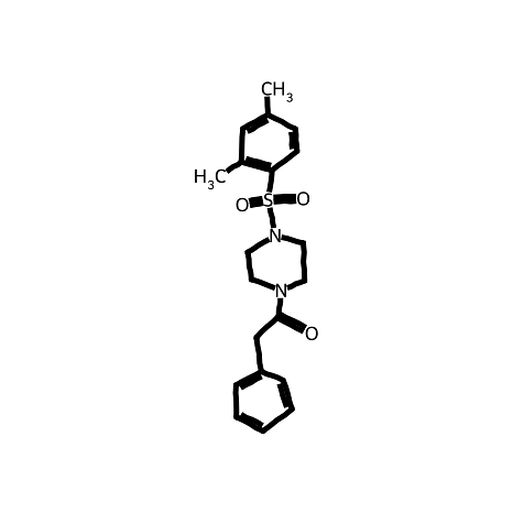 Cc1ccc(S(=O)(=O)N2CCN(C(=O)Cc3ccccc3)CC2)c(C)c1